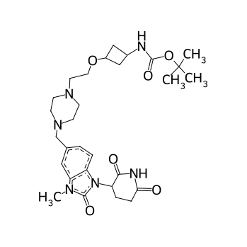 Cn1c(=O)n(C2CCC(=O)NC2=O)c2ccc(CN3CCN(CCOC4CC(NC(=O)OC(C)(C)C)C4)CC3)cc21